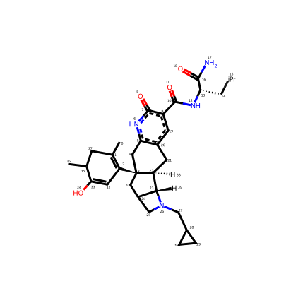 CC1=C([C@@]23Cc4[nH]c(=O)c(C(=O)N[C@@H](CC(C)C)C(N)=O)cc4C[C@H]2[C@H]2C(CN2CC2CC2)C3)C=C(O)C(C)C1